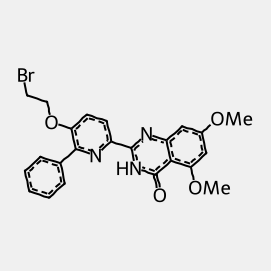 COc1cc(OC)c2c(=O)[nH]c(-c3ccc(OCCBr)c(-c4ccccc4)n3)nc2c1